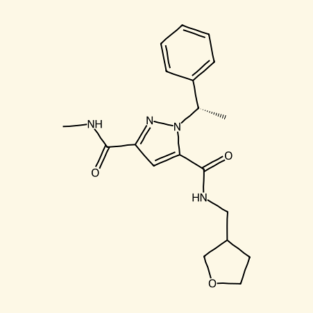 CNC(=O)c1cc(C(=O)NCC2CCOC2)n([C@@H](C)c2ccccc2)n1